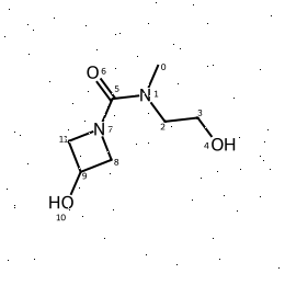 CN(CCO)C(=O)N1CC(O)C1